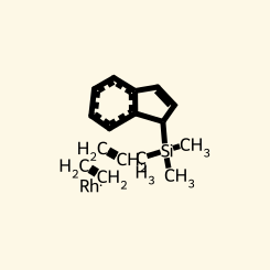 C=C.C=C.C[Si](C)(C)C1C=Cc2ccccc21.[Rh]